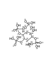 O=P(O)(O)OC1C(OP(=O)(O)O)[C@H](OP(=O)(O)O)[C@H](O)C(OP(=O)(O)O)[C@@H]1O